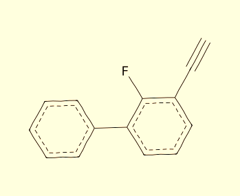 C#Cc1cccc(-c2ccccc2)c1F